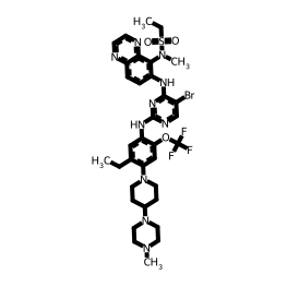 CCc1cc(Nc2ncc(Br)c(Nc3ccc4nccnc4c3N(C)S(=O)(=O)CC)n2)c(OC(F)(F)F)cc1N1CCC(N2CCN(C)CC2)CC1